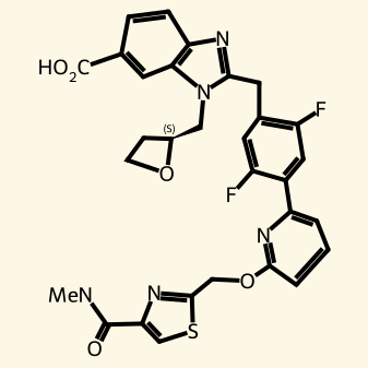 CNC(=O)c1csc(COc2cccc(-c3cc(F)c(Cc4nc5ccc(C(=O)O)cc5n4C[C@@H]4CCO4)cc3F)n2)n1